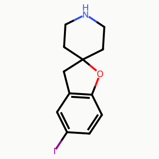 Ic1ccc2c(c1)CC1(CCNCC1)O2